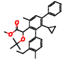 CCc1cc(-c2c(C3CC3)c(-c3ccccc3)cc(C)c2C(OC(C)(C)C)C(=O)OC)ccc1C